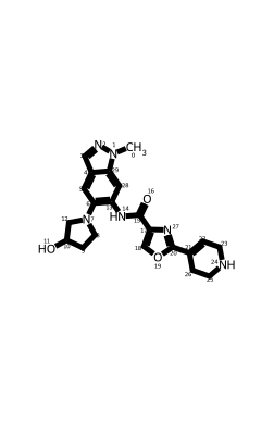 Cn1ncc2cc(N3CCC(O)C3)c(NC(=O)c3coc(C4=CCNCC4)n3)cc21